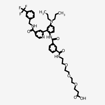 CCCN(CCC)c1ccc(NC(=O)c2cccc(C(=O)NCCOCCOCCOCCC(=O)O)c2)c(-c2cc(C(=O)NCc3cccc(C(F)(F)F)c3)ccn2)c1